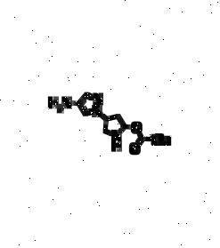 CC(C)(C)C(=O)OC1CC(n2cc(N)cn2)CN1